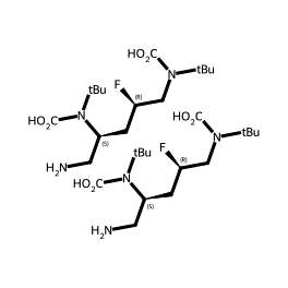 CC(C)(C)N(C[C@H](F)C[C@@H](CN)N(C(=O)O)C(C)(C)C)C(=O)O.CC(C)(C)N(C[C@H](F)C[C@@H](CN)N(C(=O)O)C(C)(C)C)C(=O)O